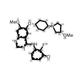 COc1cc2ncnc(Nc3cccc(Cl)c3F)c2cc1O[C@H]1CC[C@H](N2CC[C@H](OC)C2)CC1